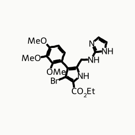 CCOC(=O)c1[nH]c(CNc2ncc[nH]2)c(-c2ccc(OC)c(OC)c2OC)c1Br